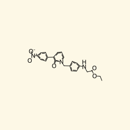 CCOC(=O)CNc1ccc(Cn2cccc(-c3ccc([N+](=O)[O-])cc3)c2=O)cc1